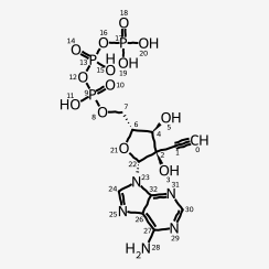 C#C[C@@]1(O)[C@H](O)[C@@H](COP(=O)(O)OP(=O)(O)OP(=O)(O)O)O[C@H]1n1cnc2c(N)ncnc21